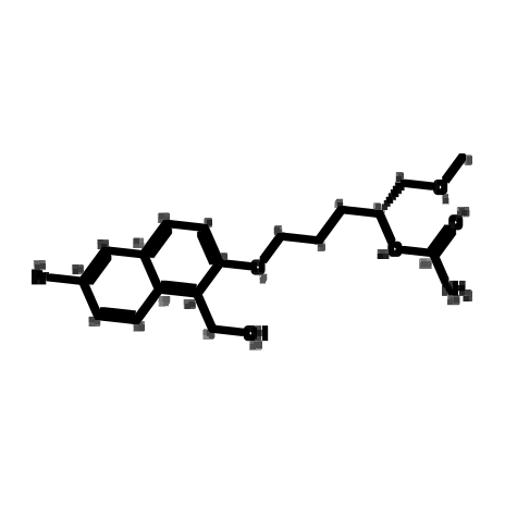 COC[C@@H](CCCOc1ccc2cc(Br)ccc2c1CO)OC(N)=O